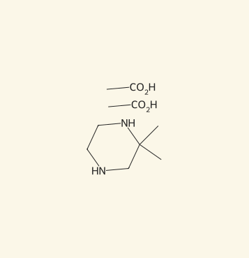 CC(=O)O.CC(=O)O.CC1(C)CNCCN1